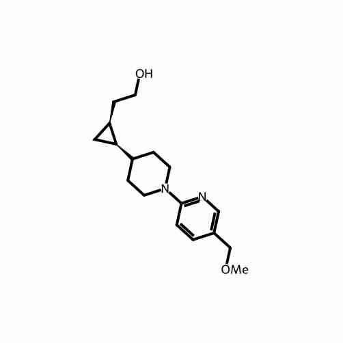 COCc1ccc(N2CCC([C@H]3C[C@H]3CCO)CC2)nc1